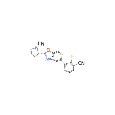 N#Cc1cccc(-c2ccc3oc([C@@H]4CCCN4C#N)nc3c2)c1F